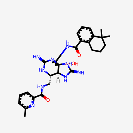 Cc1cccc(C(=O)NC[C@@H]2NC(=N)N3CC(NC(=O)c4cccc5c4CCCC5(C)C)[C@@H](O)C34NC(=N)N[C@@H]24)n1